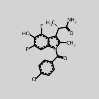 Cc1c([C@H](C)C(N)=O)c2c(F)c(O)c(F)cc2n1C(=O)c1ccc(Cl)cc1